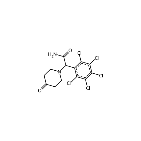 NC(=O)C(c1c(Cl)c(Cl)c(Cl)c(Cl)c1Cl)N1CCC(=O)CC1